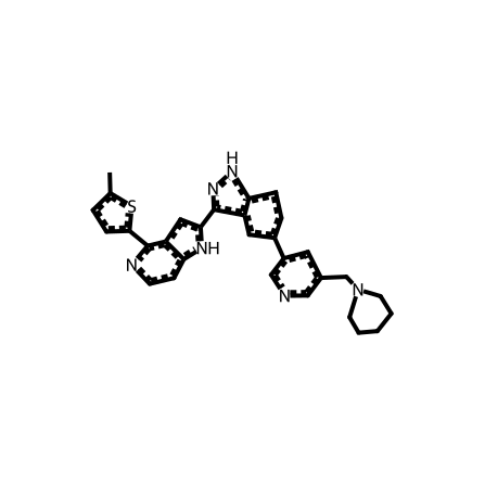 Cc1ccc(-c2nccc3[nH]c(-c4n[nH]c5ccc(-c6cncc(CN7CCCCC7)c6)cc45)cc23)s1